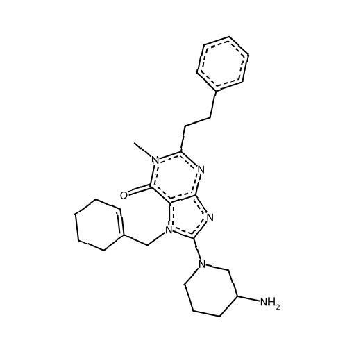 Cn1c(CCc2ccccc2)nc2nc(N3CCCC(N)C3)n(CC3=CCCCC3)c2c1=O